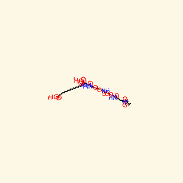 CC(C)C1CC(=O)N(CCCCCC(=O)NCCOCCOCC(=O)NCCOCCOCCNC(=O)CCC(NC(=O)CCCCCCCCCCCCCCCCC(=O)O)C(=O)O)C1=O